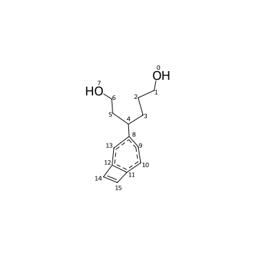 OCCCC(CCO)c1ccc2c(c1)C=C2